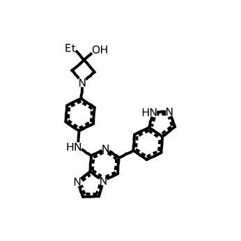 CCC1(O)CN(c2ccc(Nc3nc(-c4ccc5cn[nH]c5c4)cn4ccnc34)cc2)C1